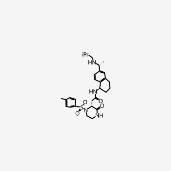 Cc1ccc(S(=O)(=O)N2CCNC(=O)[C@H]2CC(=O)N[C@@H]2CCCc3cc([C@@H](C)NCC(C)C)ccc32)cc1